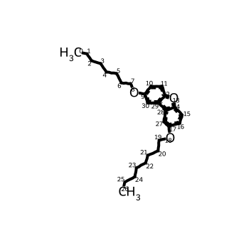 CCCCCCCCOc1ccc2oc3ccc(OCCCCCCCC)cc3c2c1